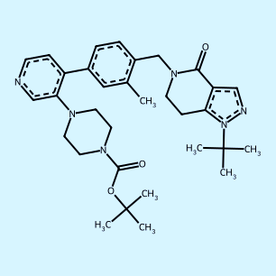 Cc1cc(-c2ccncc2N2CCN(C(=O)OC(C)(C)C)CC2)ccc1CN1CCc2c(cnn2C(C)(C)C)C1=O